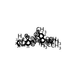 COc1ccc2c(c1S(=O)(=O)Nc1noc3cc(Cn4cccn4)c(F)c(OC)c13)OCCC2O[Si](C)(C)C(C)(C)C